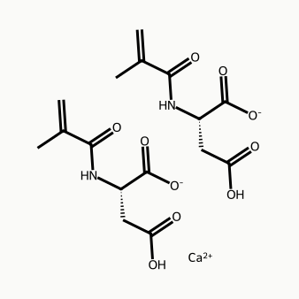 C=C(C)C(=O)N[C@@H](CC(=O)O)C(=O)[O-].C=C(C)C(=O)N[C@@H](CC(=O)O)C(=O)[O-].[Ca+2]